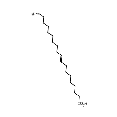 CCCCCCCCCCCCCCCCCCC=CCCCCCCCC(=O)O